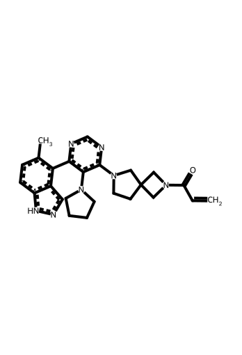 C=CC(=O)N1CC2(CCN(c3ncnc(-c4c(C)ccc5[nH]ncc45)c3N3CCCC3)C2)C1